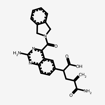 C=C(CC(C(=O)O)c1ccc2nc(N)nc(C(=O)N3Cc4ccccc4C3)c2c1)C(N)=O